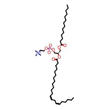 CCCCC/C=C\C/C=C\CCCCCCCCCCCC(=O)O[C@H](COC(=O)CCCCCCCCCCCCC)COP(=O)([O-])OCC[N+](C)(C)C